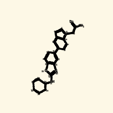 NC(=O)Cn1ccc2cc(-c3ccc4oc(NC5CCCCC5)nc4c3)ccc21